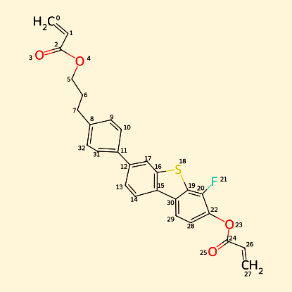 C=CC(=O)OCCCc1ccc(-c2ccc3c(c2)sc2c(F)c(OC(=O)C=C)ccc23)cc1